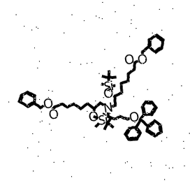 CC(C)(C)[Si](C)(C)OC(CCCCCC(=O)OCc1ccccc1)CN(CCCCOC(c1ccccc1)(c1ccccc1)c1ccccc1)CC(CCCCCC(=O)OCc1ccccc1)O[Si](C)(C)C(C)(C)C